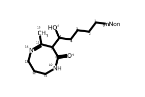 CCCCCCCCCCCCCC(O)C1C(=O)NCCCN=C1C